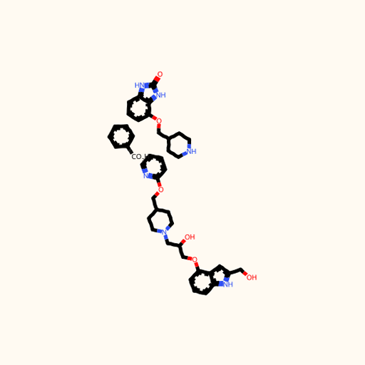 O=C(O)c1ccccc1.O=c1[nH]c2cccc(OCC3CCNCC3)c2[nH]1.OCc1cc2c(OCC(O)CN3CCC(COc4ccccn4)CC3)cccc2[nH]1